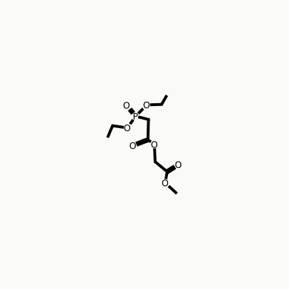 CCOP(=O)(CC(=O)OCC(=O)OC)OCC